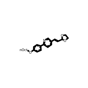 CCCCCCCCOc1ccc(-c2ccc(C=CC3OCCO3)cn2)cc1